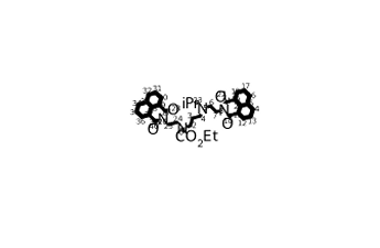 CCOC(=O)N(CCCN(CCN1C(=O)c2cccc3cccc(c23)C1=O)C(C)C)CCN1C(=O)c2cccc3cccc(c23)C1=O